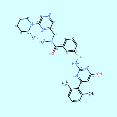 Cc1cccc(C)c1-c1cc(O)nc(NSc2cccc(C(=O)N(C)Cc3cncc(N4CCCC[C@H]4C)n3)c2)n1